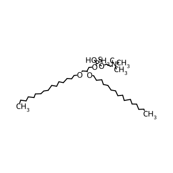 CCCCCCCCCCCCCCCCOCC(COP(O)(=S)OCC[N+](C)(C)C)OCCCCCCCCCCCCCCCC